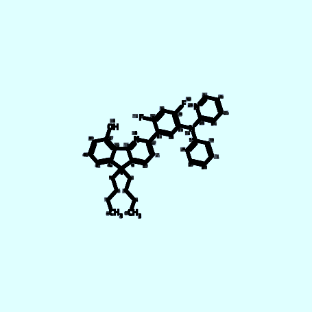 CCCCC1(CCCC)c2ccc(-c3cc(N(c4ccccc4)c4ccccn4)c(F)cc3F)nc2-c2c(O)cccc21